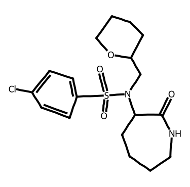 O=C1NCCCCC1N(CC1CCCCO1)S(=O)(=O)c1ccc(Cl)cc1